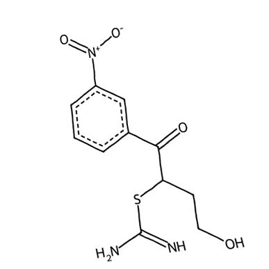 N=C(N)SC(CCO)C(=O)c1cccc([N+](=O)[O-])c1